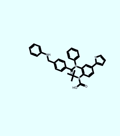 CC(C)(C)N(C(=O)O)c1ccc(-c2cccs2)cc1N(C(=O)c1ccc(CNc2ccccc2)cc1)c1ccccc1